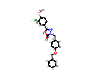 CC(C)Oc1ccc(-c2nn(Cc3ccc(OCc4ccccc4)cc3)c(=O)o2)cc1Cl